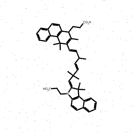 CC1=C(/C=C/C(C)/C=C/C(C)(C)/C=C2/N(CCC(=O)O)c3ccc4ccccc4c3C2(C)C)C(C)(C)c2c(ccc3ccccc23)C1CCC(=O)O